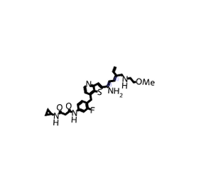 C=C/C(=C\C=C(/N)c1cc2nccc(Cc3ccc(NC(=O)CC(=O)NC4CC4)cc3F)c2s1)CNCCOC